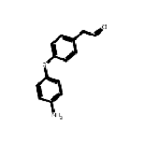 Nc1ccc(Oc2ccc(CC=O)cc2)cc1